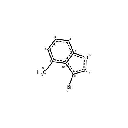 Cc1cccc2onc(Br)c12